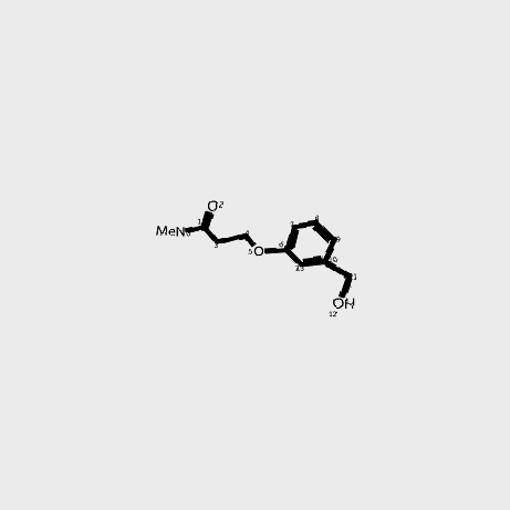 CNC(=O)CCOc1cc[c]c(CO)c1